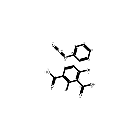 Cc1c(C(=O)O)ccc(Br)c1C(=O)O.O=C=Nc1ccccc1